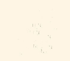 NC1(C(=O)c2ccccc2)N=C2N=CN=C2C(N)(C(=O)c2ccccc2)N1